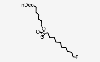 CCCCCCCCCCCCCCCCOS(=O)(=O)CCCCCCCCCCF